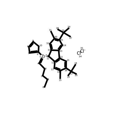 CCCC/[CH]=[Zr+2](/[C]1=CC=CC1)[CH]1c2cc(C)c(C(C)(C)C)cc2-c2cc(C(C)(C)C)c(C)cc21.[Cl-].[Cl-]